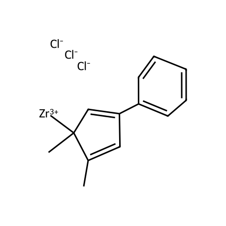 CC1=CC(c2ccccc2)=C[C]1(C)[Zr+3].[Cl-].[Cl-].[Cl-]